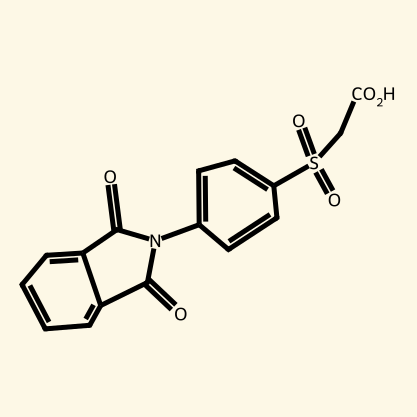 O=C(O)CS(=O)(=O)c1ccc(N2C(=O)c3ccccc3C2=O)cc1